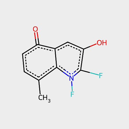 Cc1ccc(=O)c2cc(O)c(F)n(F)c1-2